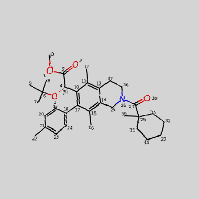 COC(=O)[C@@H](OC(C)(C)C)c1c(C)c2c(c(C)c1-c1ccc(C)cc1)CN(C(=O)C1(C)CCCCC1)CC2